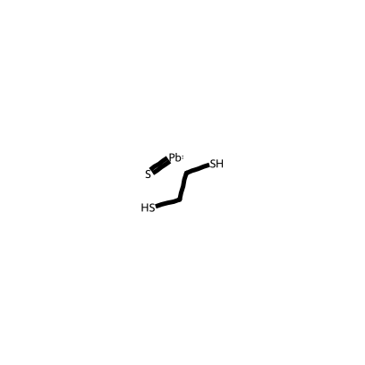 SCCS.[S]=[Pb]